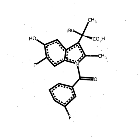 Cc1c([C@](C)(C(=O)O)C(C)(C)C)c2cc(O)c(F)cc2n1C(=O)c1cccc(F)c1